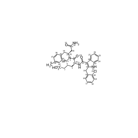 CCCN(C(=O)[C@H](CCCC(=O)O)NC(=O)c1c(Cc2ccccc2Cl)[nH]c2ccccc12)[C@H](CC(N)=O)Cc1ccc(C)cc1